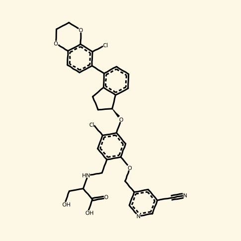 N#Cc1cncc(COc2cc(O[C@H]3CCc4c(-c5ccc6c(c5Cl)OCCO6)cccc43)c(Cl)cc2CNC(CO)C(=O)O)c1